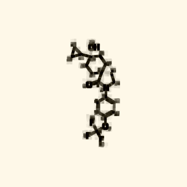 O=C1N(c2ccc(OC(F)(F)F)cc2)CC[C@]12CC[C@](O)(C1CC1)CC2